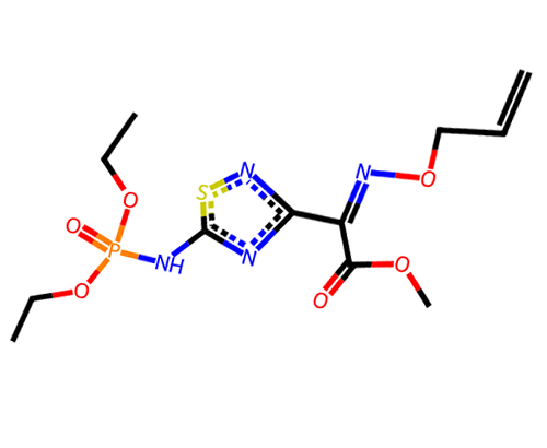 C=CCON=C(C(=O)OC)c1nsc(NP(=O)(OCC)OCC)n1